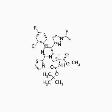 COC(=O)[C@@]1(NC(=O)OC(C)(C)C)CC2=C(c3ccn(C(F)F)n3)[C@H](c3ccc(F)cc3Cl)N=C(c3nccs3)N2C1